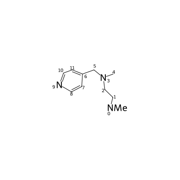 CNCCN(C)Cc1ccncc1